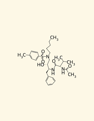 CCCCCN(C[C@@H](O)[C@H](Cc1ccccc1)NC(=O)[C@@H](NC(C)=O)C(C)C)S(=O)(=O)c1ccc(C)cc1